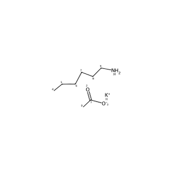 CC(=O)[O-].CCCCCCN.[K+]